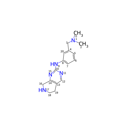 CN(C)Cc1cccc(Nc2ncc3c(n2)CNCC3)c1